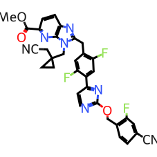 COC(=O)c1ccc2nc(Cc3cc(F)c(-c4ccnc(OCc5ccc(C#N)cc5F)n4)cc3F)n(CC3(CC#N)CC3)c2n1